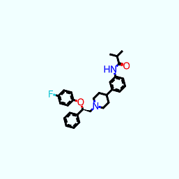 CC(C)C(=O)Nc1cccc(C2CCN(C[C@H](Oc3ccc(F)cc3)c3ccccc3)CC2)c1